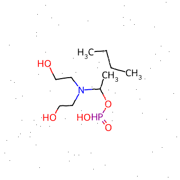 CC(O[PH](=O)O)N(CCO)CCO.CCCC